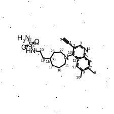 C#Cc1cnc2cc(C)c(C)cc2c1N1CCC[C@@H](CCNS(N)(=O)=O)CC1